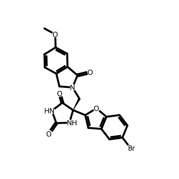 COc1ccc2c(c1)C(=O)N(C[C@@]1(c3cc4cc(Br)ccc4o3)NC(=O)NC1=O)C2